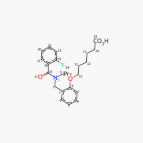 CC(C)N(Cc1ccccc1OCCCCCC(=O)O)C(=O)c1ccccc1F